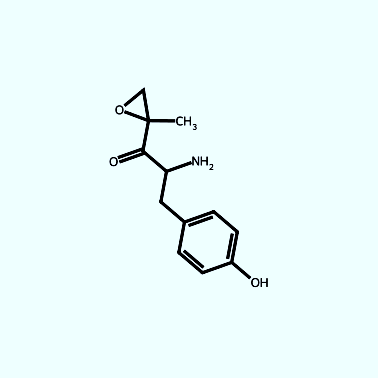 CC1(C(=O)C(N)Cc2ccc(O)cc2)CO1